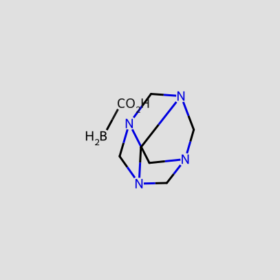 BC(=O)O.C1N2CN3CN1CN(C2)C3